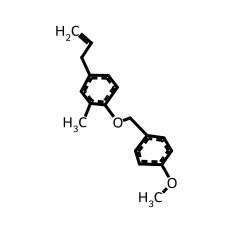 C=CCc1ccc(OCc2ccc(OC)cc2)c(C)c1